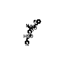 COc1ccccc1CCC(=O)Nc1sc2c(c1C#N)CCN(C(=O)NCCc1ccncc1)C2